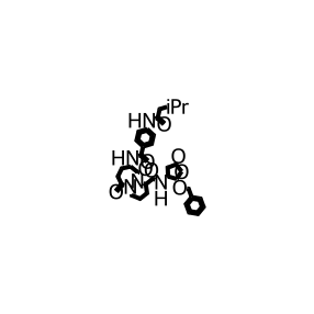 CC(C)CC(=O)Nc1ccc(C(=O)NC2CCC(=O)N3CCCC(C(=O)NC4CC(=O)OC4OCc4ccccc4)N3C2=O)cc1